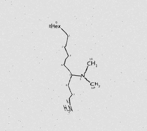 CCCCCCCCCCC(CCN)N(C)C